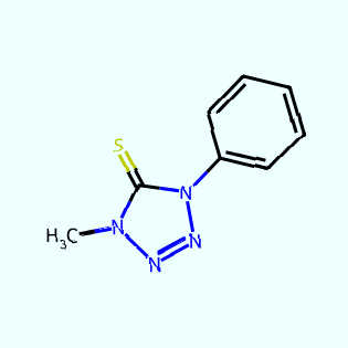 Cn1nnn(-c2ccccc2)c1=S